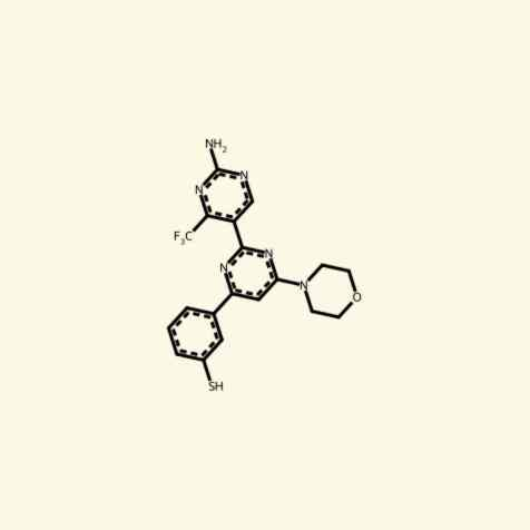 Nc1ncc(-c2nc(-c3cccc(S)c3)cc(N3CCOCC3)n2)c(C(F)(F)F)n1